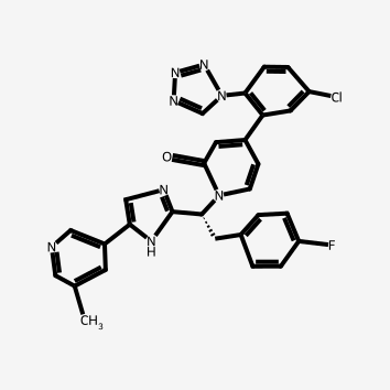 Cc1cncc(-c2cnc([C@@H](Cc3ccc(F)cc3)n3ccc(-c4cc(Cl)ccc4-n4cnnn4)cc3=O)[nH]2)c1